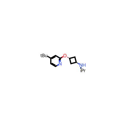 CC(C)N[C@H]1C[C@H](Oc2cc(C(C)(C)C)ccn2)C1